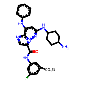 CCOC(=O)c1cc(F)cc(NC(=O)c2cnc3c(Nc4ccccc4)cc(NC4CCC(N)CC4)nn23)c1